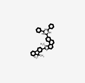 CN1c2c(ccc3ccc4cc(C(NCc5ccccc5)NC(N)c5ccccc5)ccc4c23)SC1c1ccc2c(c1)C(C)(C)c1ccccc1-2